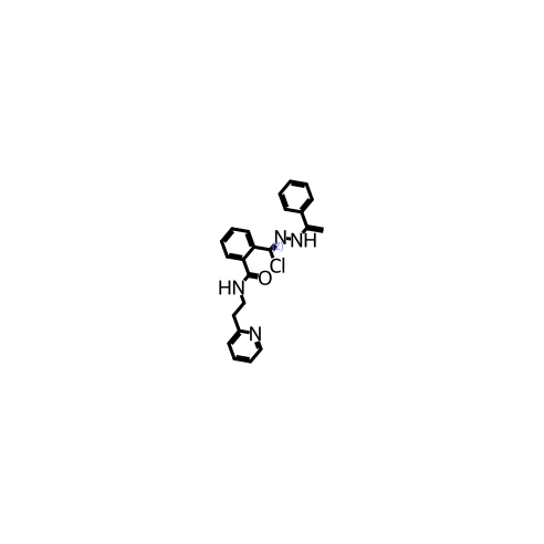 C=C(N/N=C(\Cl)c1ccccc1C(=O)NCCc1ccccn1)c1ccccc1